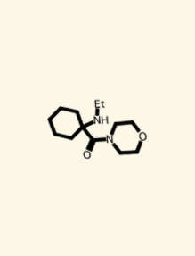 CCNC1(C(=O)N2CCOCC2)CCCCC1